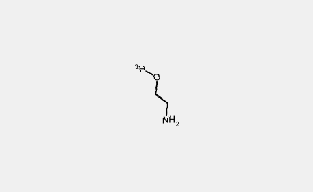 [2H]OCCN